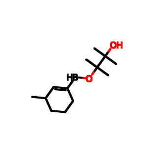 CC1C=C(BOC(C)(C)C(C)(C)O)CCC1